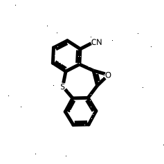 N#Cc1cccc2sc3ccccc3c3oc=3c12